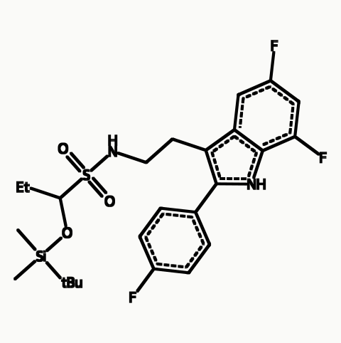 CCC(O[Si](C)(C)C(C)(C)C)S(=O)(=O)NCCc1c(-c2ccc(F)cc2)[nH]c2c(F)cc(F)cc12